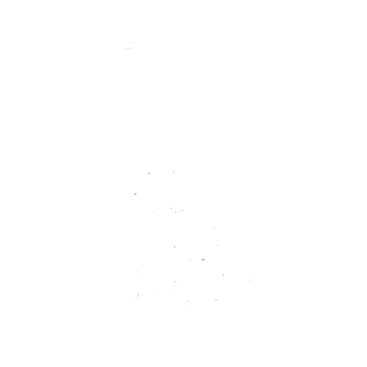 CCCCCCCCCCCCCCCCN1CCN(c2cc3c(cc2F)c(=O)c(C(=O)OCC)cn3C2CC2)CC1